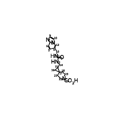 O=C(NCc1ccc2nccn2c1)NCC1CC12CCN(C(=O)O)CC2